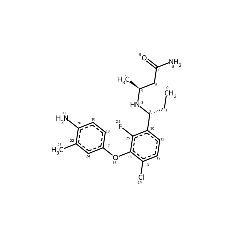 CC[C@@H](N[C@@H](C)CC(N)=O)c1ccc(Cl)c(Oc2ccc(N)c(C)c2)c1F